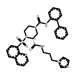 O=C(NCCCn1ccnc1)[C@H]1CN(C(=O)Nc2ccccc2-c2ccccc2)CCN1S(=O)(=O)c1cccc2cccnc12